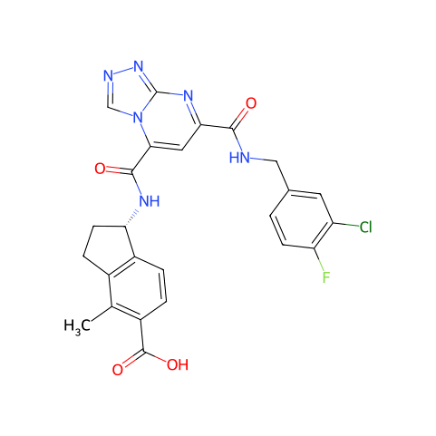 Cc1c(C(=O)O)ccc2c1CC[C@@H]2NC(=O)c1cc(C(=O)NCc2ccc(F)c(Cl)c2)nc2nncn12